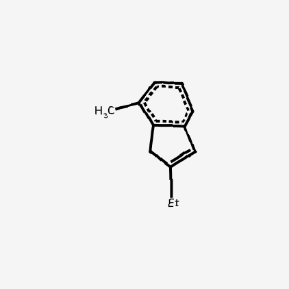 CCC1=Cc2cccc(C)c2C1